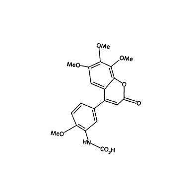 COc1ccc(-c2cc(=O)oc3c(OC)c(OC)c(OC)cc23)cc1NC(=O)O